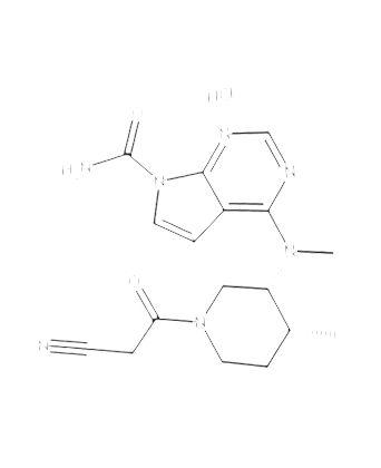 C[C@@H]1CCN(C(=O)CC#N)C[C@@H]1N(C)c1ncnc2c1ccn2C(N)=O.Cl